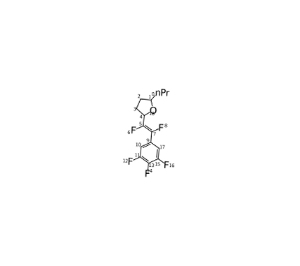 CCCC1CCC(/C(F)=C(\F)c2cc(F)c(F)c(F)c2)O1